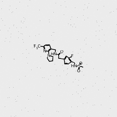 CS(=O)(=O)NCc1ccc(CC(=O)NCc2ccc(C(F)(F)F)nc2N2CCCC2)cc1F